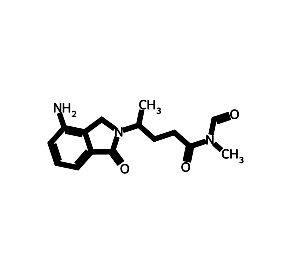 CC(CCC(=O)N(C)C=O)N1Cc2c(N)cccc2C1=O